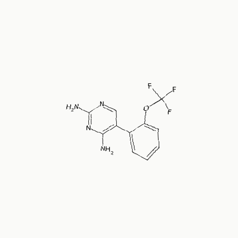 Nc1ncc(-c2ccccc2OC(F)(F)F)c(N)n1